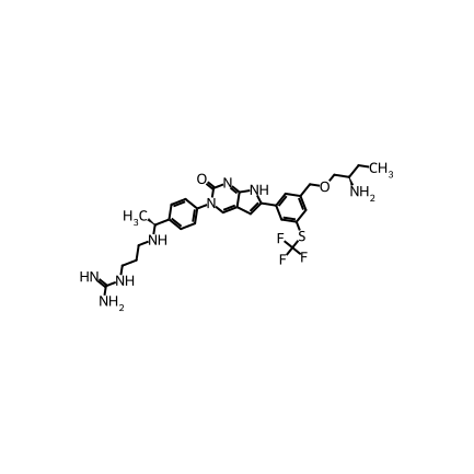 CC[C@@H](N)COCc1cc(SC(F)(F)F)cc(-c2cc3cn(-c4ccc([C@H](C)NCCCNC(=N)N)cc4)c(=O)nc3[nH]2)c1